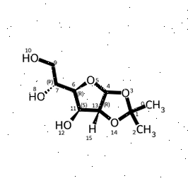 CC1(C)OC2O[C@H]([C@H](O)CO)[C@H](O)[C@H]2O1